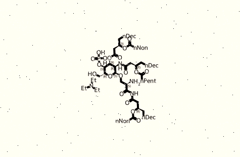 CCCCCCCCCCC[C@H](CC(=O)NC(=O)[C@@H](N)CO[C@H]1O[C@H](CO)[C@@H](OP(=O)(O)O)[C@H](OC(=O)C[C@@H](CCCCCCCCCCC)OC(=O)CCCCCCCCC)[C@H]1NC(=O)C[C@@H](CCCCCCCCCCC)OC(=O)CCCCC)OC(=O)CCCCCCCCC.CCN(CC)CC